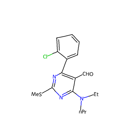 CCCN(CC)c1nc(SC)nc(-c2ccccc2Cl)c1C=O